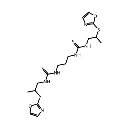 CC(CNC(=S)NCCCNC(=S)NCC(C)Sc1ncco1)Sc1ncco1